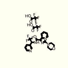 O=C(NC(c1cccnc1)C(F)(F)F)c1nc(N2CCOCC2)n2ccccc12.O=C(O)C(F)(F)F.O=C(O)C(F)(F)F